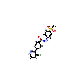 CCS(=O)(=O)c1ccc(NC(=O)c2ccc(-c3ncccc3Cl)cc2)cc1